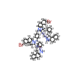 CN1/C(=C/C=C/C2=[N+](Cc3ccc(C[N+]4=C(/C=C/C=C5/N(C)c6ccc7ccccc7c6C5(C)Cc5ccccc5)C(C)(C)c5c4ccc4ccc(Br)cc54)cc3)c3ccc4ccc(Br)cc4c3C2(C)C)C(C)(Cc2ccccc2)c2c1ccc1ccccc21